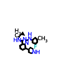 Cc1cc(F)cc(Nc2nc(N[C@H](C)C3CC3)c3cccc(C4=CCNCC4)c3n2)c1